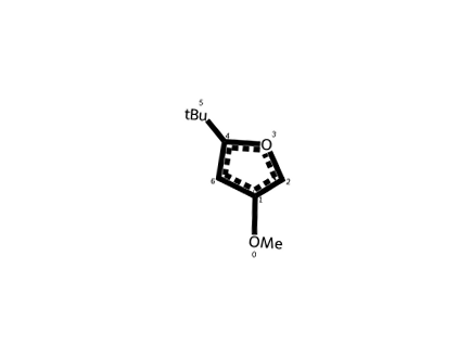 COc1coc(C(C)(C)C)c1